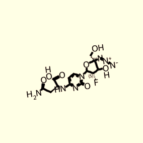 [N-]=[N+]=N[C@]1(CO)OC(n2ccc(N[C@@H](CC(N)=O)C(=O)O)nc2=O)[C@@H](F)C1O